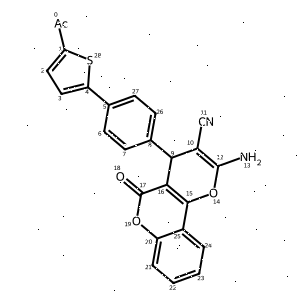 CC(=O)c1ccc(-c2ccc(C3C(C#N)=C(N)Oc4c3c(=O)oc3ccccc43)cc2)s1